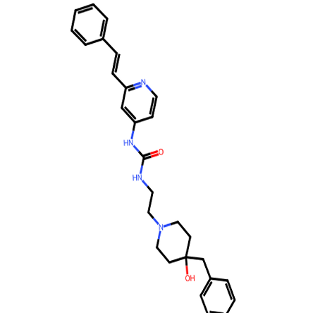 O=C(NCCN1CCC(O)(Cc2ccccc2)CC1)Nc1ccnc(C=Cc2ccccc2)c1